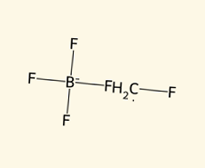 F[B-](F)(F)F.[CH2]F